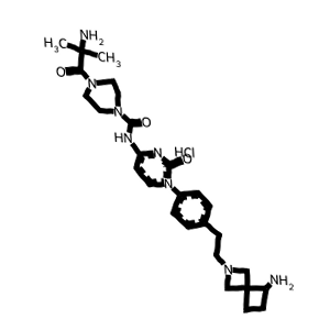 CC(C)(N)C(=O)N1CCN(C(=O)Nc2ccn(-c3ccc(CCN4CC5(CCC5N)C4)cc3)c(=O)n2)CC1.Cl